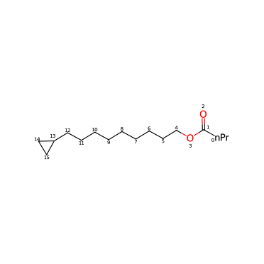 CCCC(=O)OCCCCCCCCCC1CC1